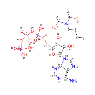 CCCCN(C(C)O)C(C)O.Nc1ncnc2c1ncn2[C@@H]1O[C@H](COP(=O)(O)OP(=O)(O)OP(=O)(O)O)C(O)C1O